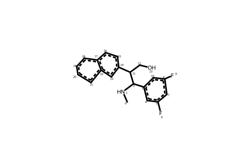 CNC(c1cc(F)cc(F)c1)C(CO)c1ccc2ccccc2c1